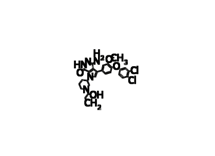 C=CC(O)N1CCC[C@@H](n2cc(-c3ccc(Oc4ccc(Cl)c(Cl)c4)c(OC)c3)c3c(N)n[nH]c(=O)c32)C1